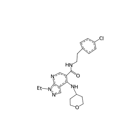 CCn1ncc2c(NC3CCOCC3)c(C(=O)NCCc3ccc(Cl)cc3)cnc21